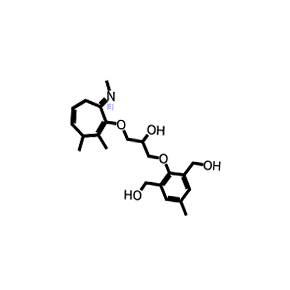 C/N=C1\CC=CC(C)C(C)=C1OCC(O)COc1c(CO)cc(C)cc1CO